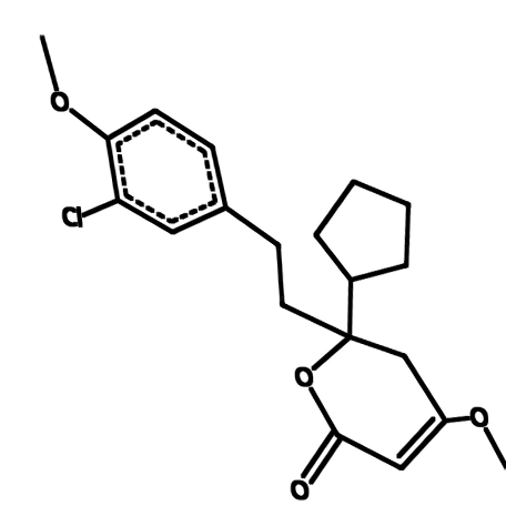 COC1=CC(=O)OC(CCc2ccc(OC)c(Cl)c2)(C2CCCC2)C1